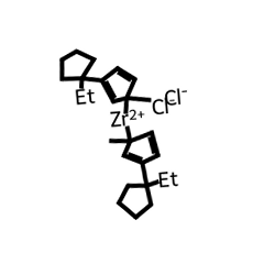 CCC1(C2=C[C](C)([Zr+2][C]3(C)C=CC(C4(CC)CCCC4)=C3)C=C2)CCCC1.[Cl-].[Cl-]